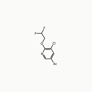 CC(=O)c1cnc(OCC(F)F)c(Cl)c1